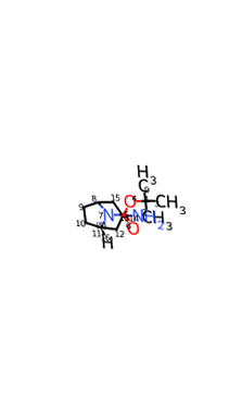 CC(C)(C)OC(=O)N1C2CC[C@H]1CC(N)C2